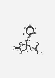 CCC(=O)OCC1(COC2=CC=C=C=C2)CCC(=O)O1